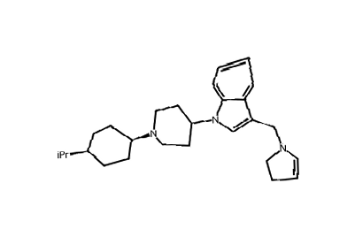 CC(C)[C@H]1CC[C@@H](N2CCC(n3cc(CN4C=CCC4)c4ccccc43)CC2)CC1